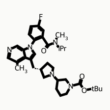 Cc1cncc2c1c(C[C@@H]1CCN(C3CCCN(C(=O)OC(C)(C)C)C3)C1)cn2-c1ccc(F)cc1C(=O)N(C)C(C)C